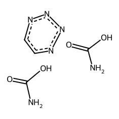 NC(=O)O.NC(=O)O.c1cnnnn1